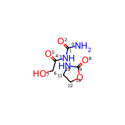 NC(=O)NC(=O)CO.O=C1NCCO1